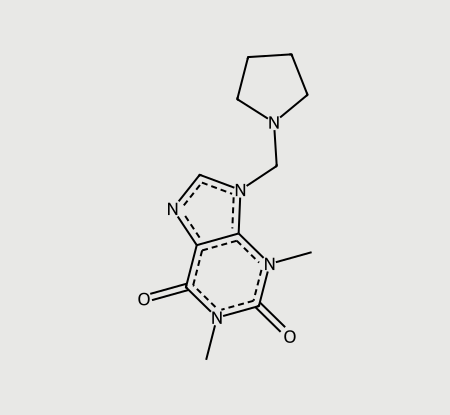 Cn1c(=O)c2ncn(CN3CCCC3)c2n(C)c1=O